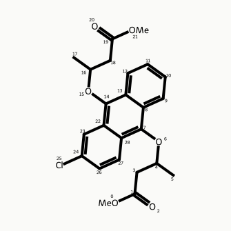 COC(=O)CC(C)Oc1c2ccccc2c(OC(C)CC(=O)OC)c2cc(Cl)ccc12